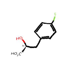 O=C(O)[C@@H](O)Cc1ccc(F)cc1